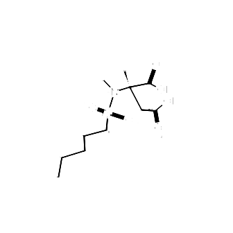 CCCCCS(=O)(=O)N(C)[C@@](C)(CC(=O)O)C(=O)O